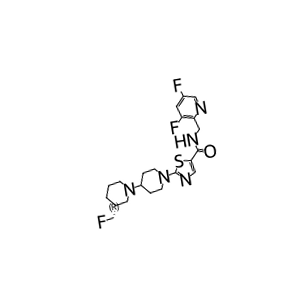 O=C(NCc1ncc(F)cc1F)c1cnc(N2CCC(N3CCC[C@@H](CF)C3)CC2)s1